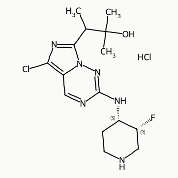 CC(c1nc(Cl)c2cnc(N[C@H]3CCNC[C@H]3F)nn12)C(C)(C)O.Cl